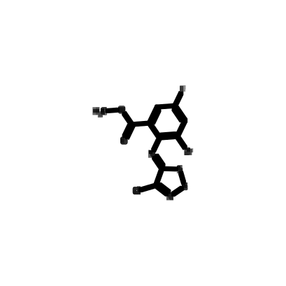 COC(=O)c1cc(F)cc(Br)c1/N=c1\ssnc1Cl